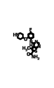 Cc1c(C(N)=O)sc2ncnc(Nc3ccc(F)cc3OC3CCNCC3)c12